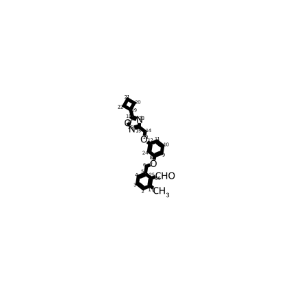 Cc1cccc(COc2cccc(OCc3noc(C4CCC4)n3)c2)c1C=O